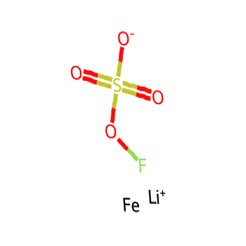 O=S(=O)([O-])OF.[Fe].[Li+]